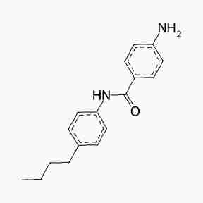 CCCCc1ccc(NC(=O)c2ccc(N)cc2)cc1